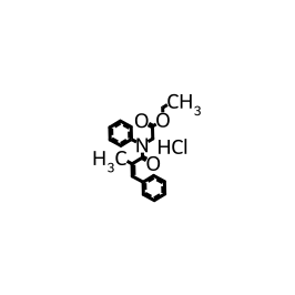 CCOC(=O)CN(C(=O)C(C)=Cc1ccccc1)c1ccccc1.Cl